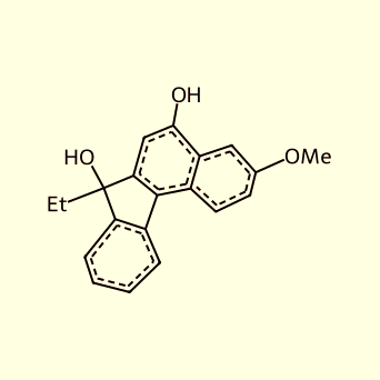 CCC1(O)c2ccccc2-c2c1cc(O)c1cc(OC)ccc21